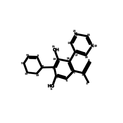 C=C(C)c1cc(O)c(C2C=CCCC2)c(O)c1-c1cncnc1